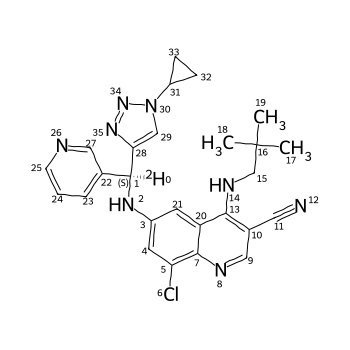 [2H][C@](Nc1cc(Cl)c2ncc(C#N)c(NCC(C)(C)C)c2c1)(c1cccnc1)c1cn(C2CC2)nn1